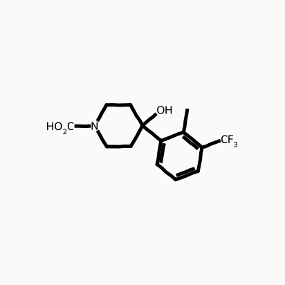 Cc1c(C(F)(F)F)cccc1C1(O)CCN(C(=O)O)CC1